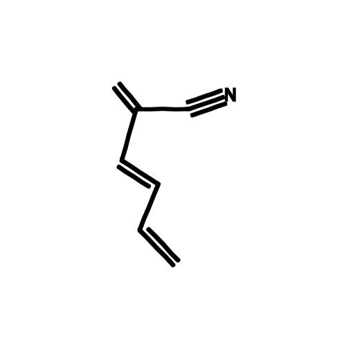 C=CC=CC(=C)C#N